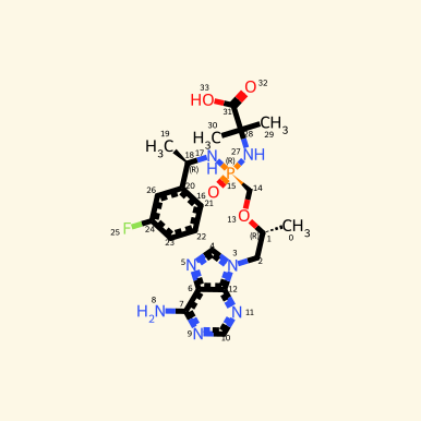 C[C@H](Cn1cnc2c(N)ncnc21)OC[P@@](=O)(N[C@H](C)c1cccc(F)c1)NC(C)(C)C(=O)O